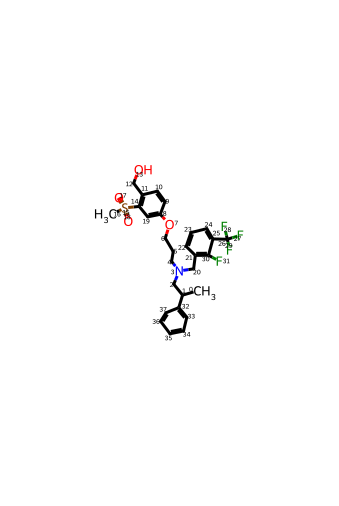 CC(CN(CCCOc1ccc(CO)c(S(C)(=O)=O)c1)Cc1cccc(C(F)(F)F)c1F)c1ccccc1